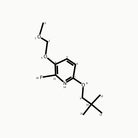 COCOc1ccc(OCC(C)(C)C)nc1F